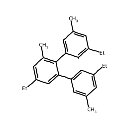 CCc1[c]c(-c2c(C)cc(CC)cc2-c2cc(C)cc(CC)c2)cc(C)c1